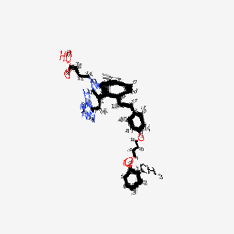 Cc1ccccc1OCCCCOc1ccc(/C=C/c2cccc3c2c(Cc2nnn[nH]2)cn3CCCC(=O)O)cc1